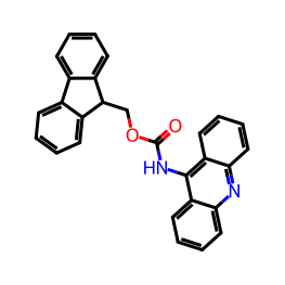 O=C(Nc1c2ccccc2nc2ccccc12)OCC1c2ccccc2-c2ccccc21